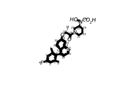 Cc1cc(F)cc(C)c1-c1ccnc2cc(O[C@H](C)C(=O)N3CCC[C@H](N(O)C(=O)O)C3)ccc12